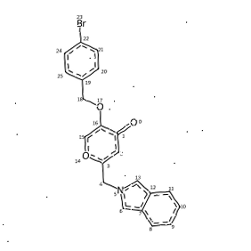 O=c1cc(Cn2cc3ccccc3c2)occ1OCc1ccc(Br)cc1